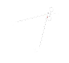 CCCCCCCCCCCCCCCCCCN(CCCCCCCCCCCCCCCCCC)C(=O)C(OCC)(C1CCCCC1)C1CCCCC1